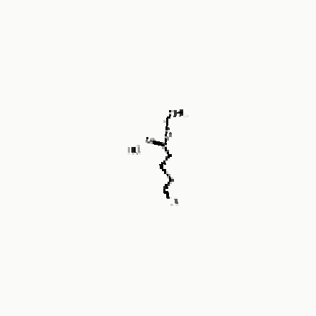 CCCCCC(=O)OCC.Cl